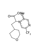 COC(=O)C(CC1CCOCC1)n1cc(C(F)(F)F)ncc1=O